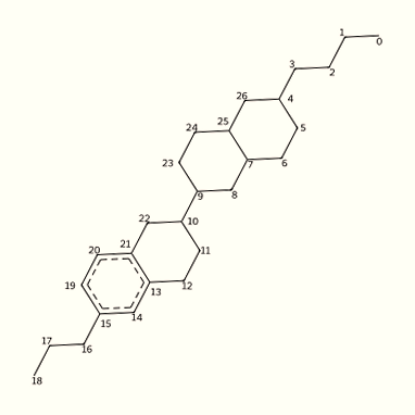 CCCCC1CCC2CC(C3CCc4cc(CCC)ccc4C3)CCC2C1